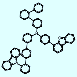 c1ccc(-c2ccccc2-c2cccc(N(c3ccc(-c4cccc5c4oc4ccccc45)cc3)c3cccc(-c4ccc(-c5ccccc5-n5c6ccccc6c6ccccc65)cc4)c3)c2)cc1